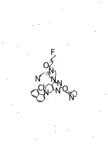 CN1CCC[C@@H]1COc1nc2c(c(N3CCN(C(=O)/C=C/CF)[C@@H](CC#N)C3)n1)CCN(c1cccc3cccc(Cl)c13)C2